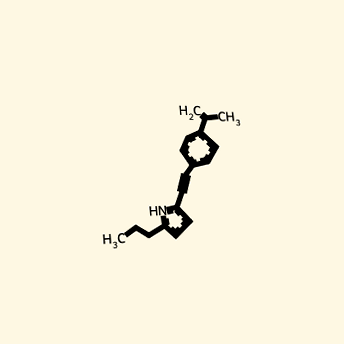 C=C(C)c1ccc(C#Cc2ccc(CCC)[nH]2)cc1